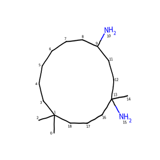 CC1(C)CCCCCCC(N)CCC(C)(N)CCC1